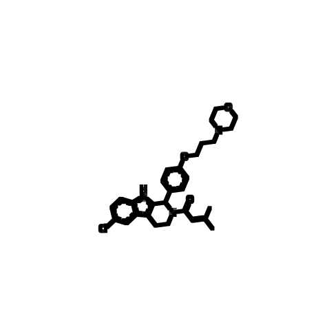 CC(C)=CC(=O)N1CCc2c([nH]c3ccc(Cl)cc23)C1c1ccc(OCCCN2CCOCC2)cc1